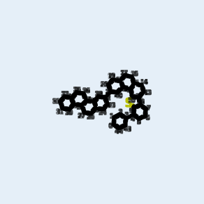 c1ccc(-c2cccc3c2sc2c3ccc3ccc4ccc(-c5ccc6ccc7c8ccccc8ccc7c6c5)cc4c32)cc1